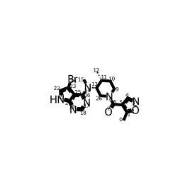 Cc1oncc1C(=O)N1CC[C@@H](C)[C@@H](N(C)c2ncnc3[nH]cc(Br)c23)C1